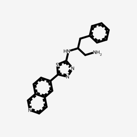 NCC(Cc1ccccc1)Nc1nnc(-c2ccc3cnccc3c2)s1